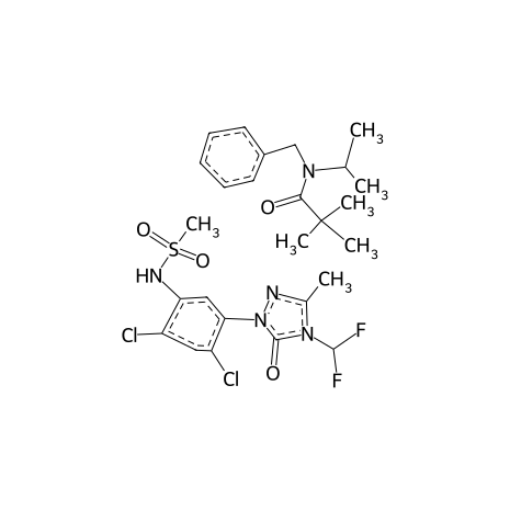 CC(C)N(Cc1ccccc1)C(=O)C(C)(C)C.Cc1nn(-c2cc(NS(C)(=O)=O)c(Cl)cc2Cl)c(=O)n1C(F)F